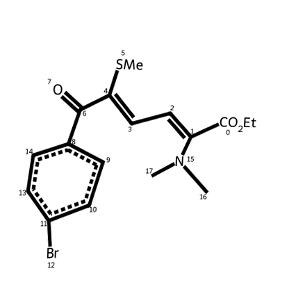 CCOC(=O)C(=CC=C(SC)C(=O)c1ccc(Br)cc1)N(C)C